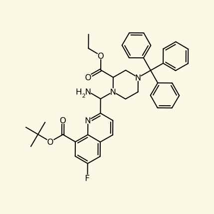 CCOC(=O)C1CN(C(c2ccccc2)(c2ccccc2)c2ccccc2)CCN1C(N)c1ccc2cc(F)cc(C(=O)OC(C)(C)C)c2n1